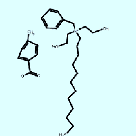 CCCCCCCCCCCC[N+](CCO)(CCO)Cc1ccccc1.Cc1ccc(C(=O)[O-])cc1